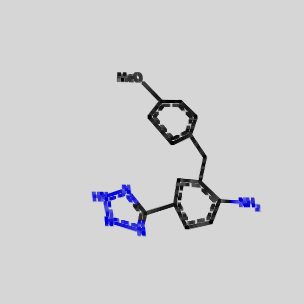 COc1ccc(Cc2cc(-c3nn[nH]n3)ccc2N)cc1